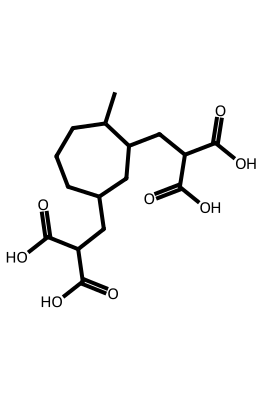 CC1CCCC(CC(C(=O)O)C(=O)O)CC1CC(C(=O)O)C(=O)O